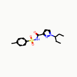 CCC(CC)n1ccc(C(=O)NS(=O)(=O)c2ccc(C)cc2)n1